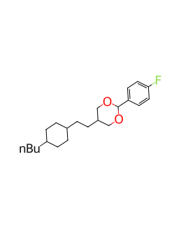 CCCCC1CCC(CCC2COC(c3ccc(F)cc3)OC2)CC1